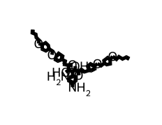 C=CCCCOC1CCC(COc2ccc(/C=C/C(=O)C(O)C(c3ccc(N)cc3N)C(O)C(=O)/C=C/c3ccc(OCC4CCC(OCCCC=C)CC4)cc3)cc2)CC1